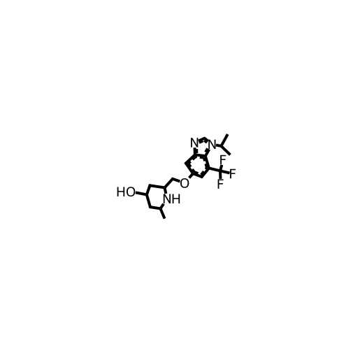 CC1CC(O)CC(COc2cc(C(F)(F)F)c3c(c2)ncn3C(C)C)N1